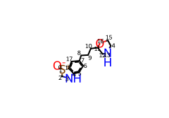 [O-][S+]1CNc2ccc(CCCC3CNCCO3)cc21